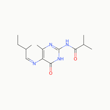 CCC(C)/C=N\c1c(C)nc(NC(=O)C(C)C)[nH]c1=O